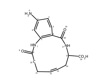 Nc1ccc2c(c1)NC(=O)CCC=CCC(C(=O)O)NC2=O